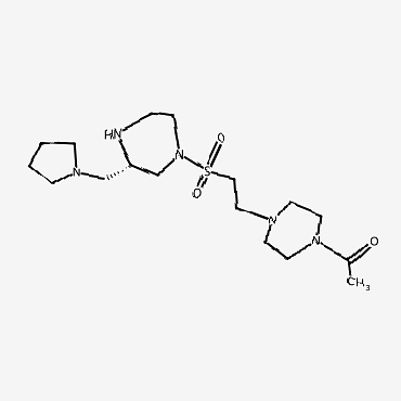 CC(=O)N1CCN(CCS(=O)(=O)N2CCN[C@@H](CN3CCCC3)C2)CC1